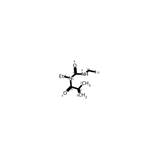 C=C(C)C(=O)N(CC)C(=O)NCI